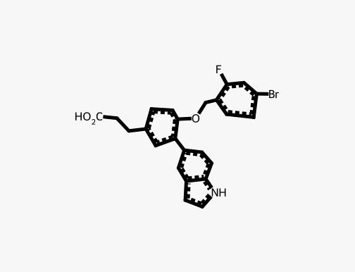 O=C(O)CCc1ccc(OCc2ccc(Br)cc2F)c(-c2ccc3[nH]ccc3c2)c1